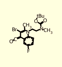 CC1=C(Br)C(=C=O)c2cc(F)ccc2N1CCN(C)C(=O)OC(C)(C)C